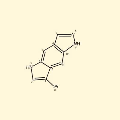 CC(C)c1c[nH]c2cc3cn[nH]c3cc12